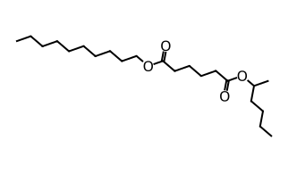 CCCCCCCCCCOC(=O)CCCCC(=O)OC(C)CCCC